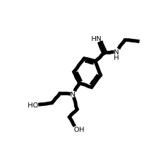 CCNC(=N)c1ccc(N(CCO)CCO)cc1